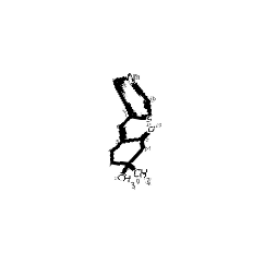 CC1(C)CCC(=Cc2cncs2)C(=O)C1